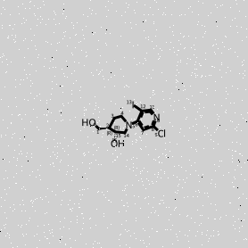 OC[C@H]1CCN(c2cc(Cl)ncc2I)C[C@@H]1O